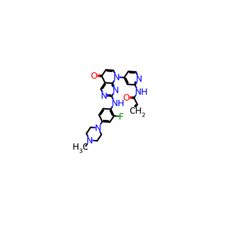 C=CC(=O)Nc1cc(-n2ccc(=O)c3cnc(Nc4ccc(N5CCN(C)CC5)cc4F)nc32)ccn1